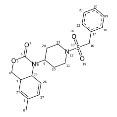 CC1=CC2COC(=O)N(C3CCN(S(=O)(=O)Cc4ccccc4)CC3)C2C=C1